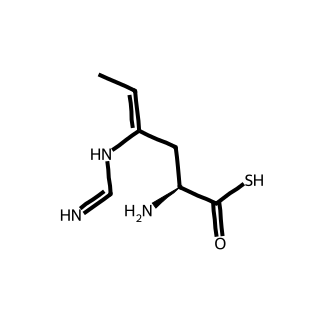 C/C=C(/C[C@H](N)C(=O)S)NC=N